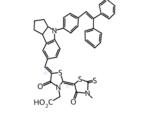 CN1C(=O)/C(=c2/s/c(=C\c3ccc4c(c3)C3CCCC3N4c3ccc(C=C(c4ccccc4)c4ccccc4)cc3)c(=O)n2CC(=O)O)SC1=S